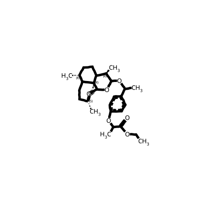 CCOC(=O)C(C)Oc1ccc(C(C)OC2OC3O[C@]4(C)CCC5[C@H](C)CCC([C@H]2C)[C@@]35OO4)cc1